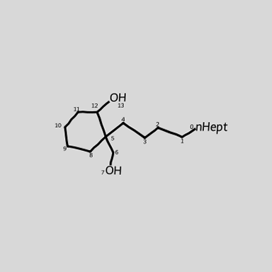 CCCCCCCCCCCC1(CO)CCCCC1O